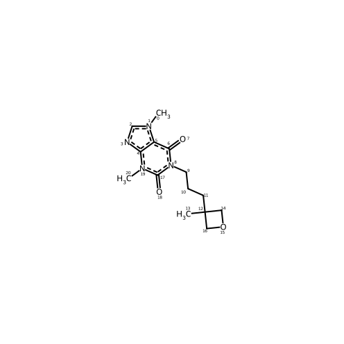 Cn1cnc2c1c(=O)n(CCCC1(C)COC1)c(=O)n2C